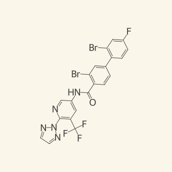 O=C(Nc1cnc(-n2nccn2)c(C(F)(F)F)c1)c1ccc(-c2ccc(F)cc2Br)cc1Br